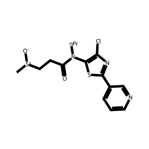 CCCN(C(=O)CC[S+](C)[O-])c1sc(-c2cccnc2)nc1Cl